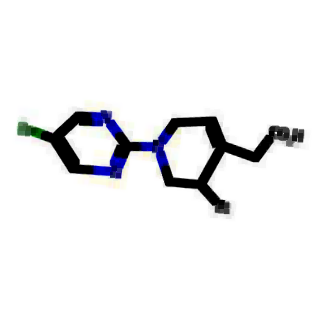 CCC1CN(c2ncc(Br)cn2)CC=C1CC(=O)O